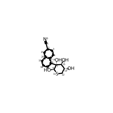 N#Cc1ccc2c([C@]3(O)[C@H](O)SC[C@@H](O)[C@@H]3O)cccc2c1